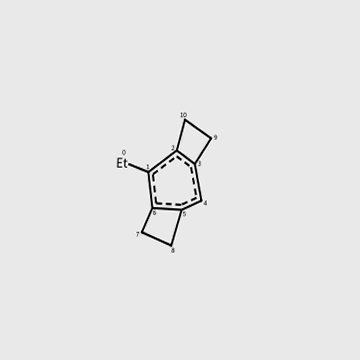 CCc1c2c(cc3c1CC3)CC2